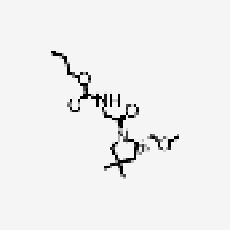 CCCOC(=O)NCC(=O)N1CC(C)(C)C[C@H]1COC